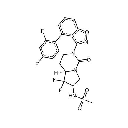 CS(=O)(=O)N[C@@H]1CN2C(=O)N(c3noc4cccc(-c5ccc(F)cc5F)c34)CC[C@@H]2C1(F)F